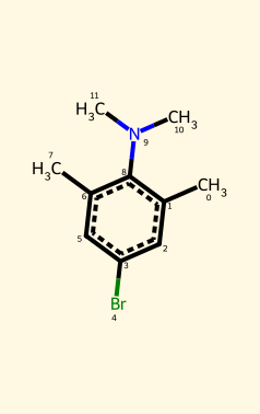 Cc1cc(Br)cc(C)c1N(C)C